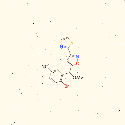 COC(c1cc(-c2nccs2)no1)c1cc(C#N)ccc1Br